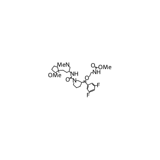 CNCC(CCC1(OC)CCCC1)NC(=O)N1CCCC([C@@H](OCCNC(=O)OC)c2cc(F)cc(F)c2)C1